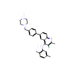 Cc1ccc(C)c(Nc2c(Cl)c(C)nc3ccc(-c4ccc(CN5CCNCC5)cc4)cc23)c1